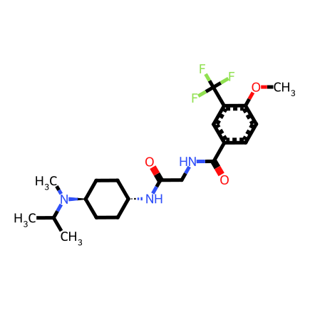 COc1ccc(C(=O)NCC(=O)N[C@H]2CC[C@H](N(C)C(C)C)CC2)cc1C(F)(F)F